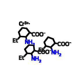 CCC1CCCC(C(=O)[O-])C1N.CCC1CCCC(C(=O)[O-])C1N.CCC1CCCC(C(=O)[O-])C1N.[Cr+3]